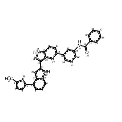 Cc1ccc(-c2cccc3[nH]c(-c4n[nH]c5ccc(-c6cncc(NC(=O)c7ccccc7)c6)nc45)cc23)s1